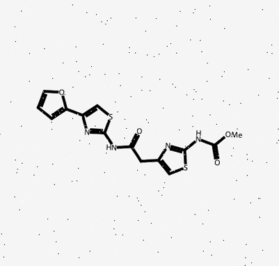 COC(=O)Nc1nc(CC(=O)Nc2nc(-c3ccco3)cs2)cs1